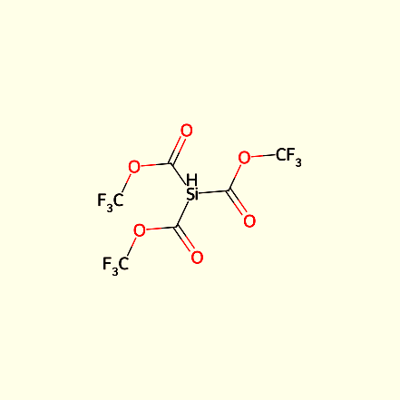 O=C(OC(F)(F)F)[SiH](C(=O)OC(F)(F)F)C(=O)OC(F)(F)F